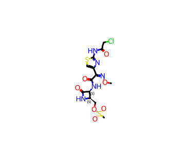 CON=C(C(=O)N[C@@H]1C(=O)N[C@@H]1COS(C)(=O)=O)c1csc(NC(=O)CCl)n1